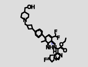 CCOC(=O)C(N/C=C1\C(=N)C(C)=C(c2ccc(C3CC(CN4CCC(CO)CC4)C3)cc2)C=C1C(F)F)c1ncn2c1C[C@@H](F)C2